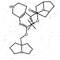 CC(C)(C)OC(=O)N1C2CCC1CN(c1nc(OCC34CCCN3CCC4)nc3c1CCNC3)C2